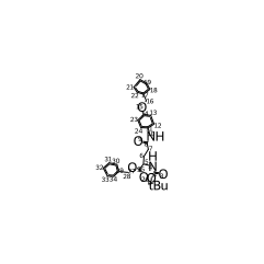 CC(C)(C)OC(=O)NC(CCC(=O)Nc1ccc(OCc2ccccc2)cc1)C(=O)OCc1ccccc1